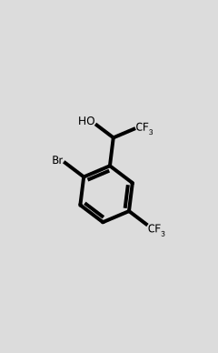 OC(c1cc(C(F)(F)F)ccc1Br)C(F)(F)F